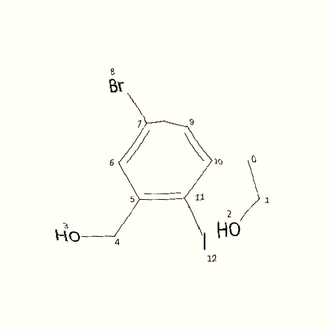 CCO.OCc1cc(Br)ccc1I